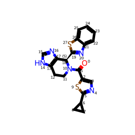 O=C(c1cnc(C2CC2)s1)N1CCc2[nH]cnc2[C@H]1c1nc2ccccc2s1